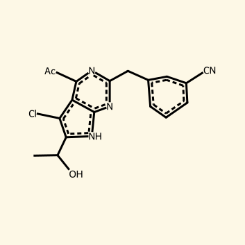 CC(=O)c1nc(Cc2cccc(C#N)c2)nc2[nH]c(C(C)O)c(Cl)c12